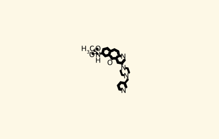 CS(=O)(=O)Nc1ccc2ccc3ncc(N4CCN(Cc5cccnc5)CC4)cc3c(=O)c2c1